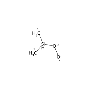 C[SiH](C)O[O]